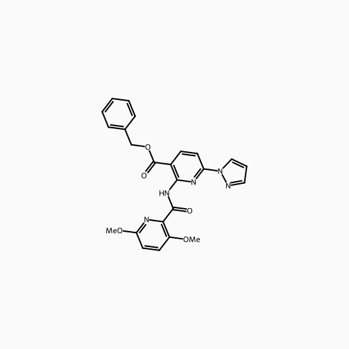 COc1ccc(OC)c(C(=O)Nc2nc(-n3cccn3)ccc2C(=O)OCc2ccccc2)n1